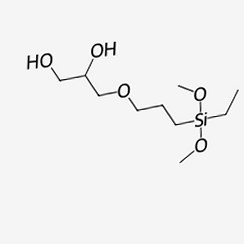 CC[Si](CCCOCC(O)CO)(OC)OC